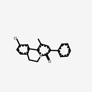 Cc1cc(-c2ccccc2)c(=O)n2c1-c1cc(Cl)ccc1CC2